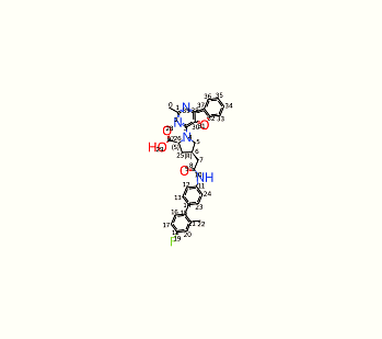 Cc1nc(N2C[C@@H](CC(=O)Nc3ccc(-c4ccc(F)cc4C)cc3)C[C@H]2C(=O)O)c2oc3ccccc3c2n1